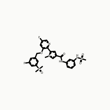 Cn1cc(C(=O)Nc2cccc(NS(C)(=O)=O)c2)cc1-c1ncc(F)cc1OCc1cc(F)cc(P(C)(C)=O)c1